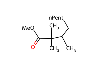 CCCCCCC(C)C(C)(C)C(=O)OC